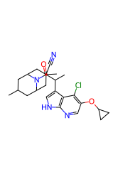 CC1CC2CC(C)(C#N)CC(C1)N2C(=O)C(C)c1c[nH]c2ncc(OC3CC3)c(Cl)c12